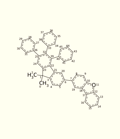 CC1(C)c2ccc(-c3ccc4oc5ccccc5c4c3)cc2-c2c1cc(-c1ccccc1)c(-c1ccccc1)c2-c1ccccc1